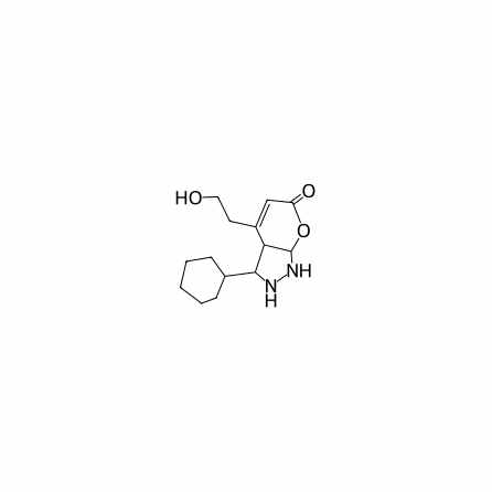 O=C1C=C(CCO)C2C(NNC2C2CCCCC2)O1